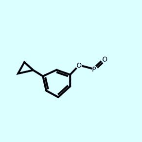 O=POc1cccc(C2CC2)c1